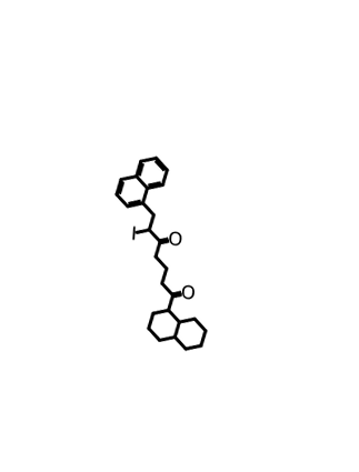 O=C(CCCC(=O)C1CCCC2CCCCC21)C(I)Cc1cccc2ccccc12